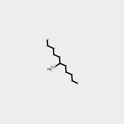 Br.CCCCCC(N)CCCCC